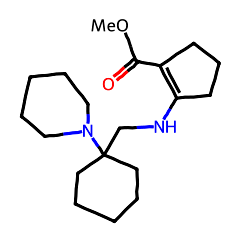 COC(=O)C1=C(NCC2(N3CCCCC3)CCCCC2)CCC1